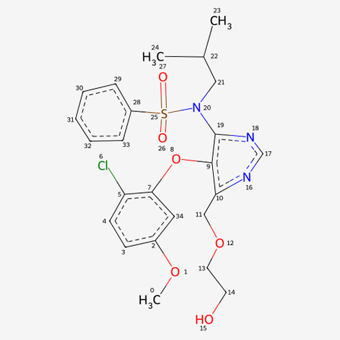 COc1ccc(Cl)c(Oc2c(COCCO)ncnc2N(CC(C)C)S(=O)(=O)c2ccccc2)c1